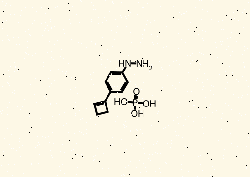 NNc1ccc(C2=CCC2)cc1.O=P(O)(O)O